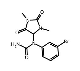 CN1C(=O)C(N(C(N)=O)c2cccc(Br)c2)N(C)C1=O